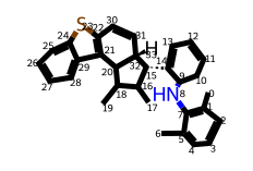 Cc1cccc(C)c1NC1CC=CC=C1[C@@H]1C(C)C(C)C2c3c(sc4ccccc34)C=C[C@@H]21